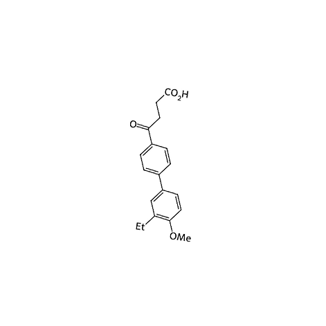 CCc1cc(-c2ccc(C(=O)CCC(=O)O)cc2)ccc1OC